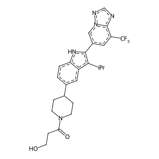 CC(C)c1c(-c2cc(C(F)(F)F)c3ncnn3c2)[nH]c2ccc(C3CCN(C(=O)CCO)CC3)cc12